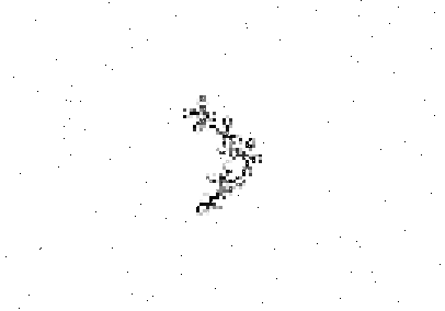 O=P([O-])([O-])[O-].O=P([O-])([O-])[O-].O=P([O-])([O-])[O-].O=P([O-])([O-])[O-].[Cr+4].[Cr+4].[Cr+4]